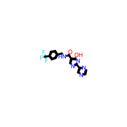 O=C(NCc1ccc(C(F)(F)F)cc1)c1cnc(-c2cnccn2)nc1O